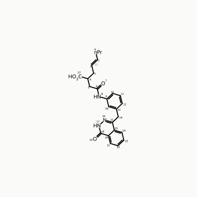 CCC/C=C/CC(CC(=O)Nc1cccc(Cc2n[nH]c(=O)c3ccccc23)c1)C(=O)O